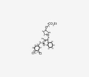 CCOC(=O)COC1CCN(CC(c2ccccc2)N(C)C(=O)Cc2ccc(Cl)c(Cl)c2)C1